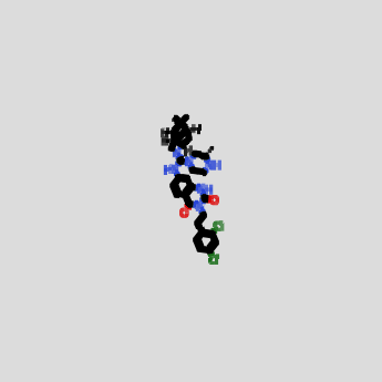 C[C@@H]1[C@@H](/N=C(/Nc2ccc3c(=O)n(CCc4ccc(Cl)cc4Cl)c(=O)[nH]c3c2)N2CCN[C@@H](C)C2)C[C@H]2C[C@@H]1C2(C)C